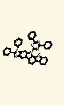 c1ccc(-c2nc(-c3ccccc3)nc(-n3c4cc5c(cc4c4ccc6c7ccccc7sc6c43)nc(-c3ccccc3)n5-c3ccccc3)n2)cc1